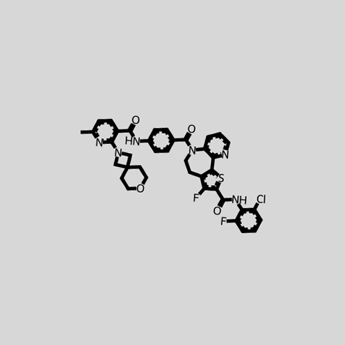 Cc1ccc(C(=O)Nc2ccc(C(=O)N3CCc4c(sc(C(=O)Nc5c(F)cccc5Cl)c4F)-c4ncccc43)cc2)c(N2CC3(CCOCC3)C2)n1